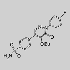 CC(C)COc1c(-c2ccc(S(N)(=O)=O)cc2)cnn(-c2ccc(F)cc2)c1=O